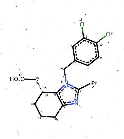 CC(C)c1nc2c(n1Cc1ccc(Cl)c(Cl)c1)[C@@H](CC(=O)O)CCC2